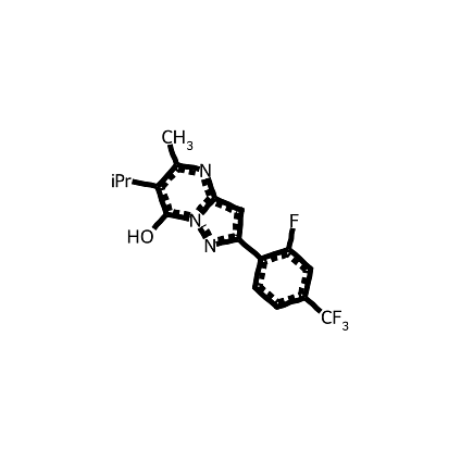 Cc1nc2cc(-c3ccc(C(F)(F)F)cc3F)nn2c(O)c1C(C)C